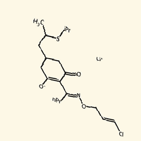 CCCC(=NOC/C=C/Cl)C1=C([O-])CC(CC(C)SC(C)C)CC1=O.[Li+]